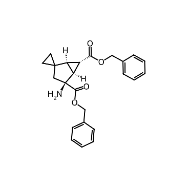 N[C@@]1(C(=O)OCc2ccccc2)CC2(CC2)[C@H]2[C@H](C(=O)OCc3ccccc3)[C@H]21